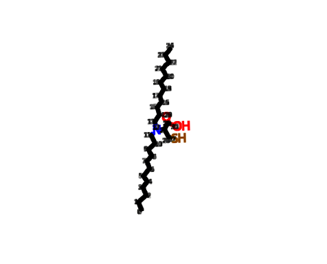 CCCCCCCCCCCCN(CCCCCCCCCCCC)C(CS)C(=O)O